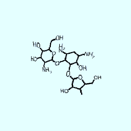 CC1C(CO)OC(OC2C(O)C(N)CC(N)C2OC2OC(CO)C(O)C(O)C2N)C1O